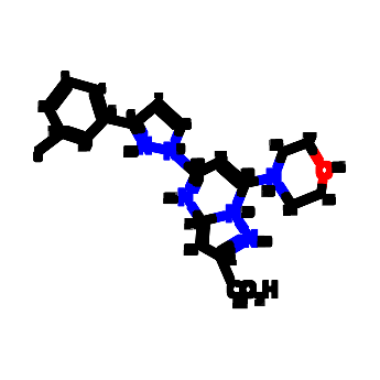 Cc1cccc(-c2ccn(-c3cc(N4CCOCC4)n4nc(C(=O)O)cc4n3)n2)c1